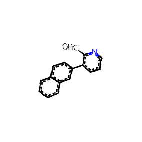 O=Cc1ncccc1-c1ccc2ccccc2c1